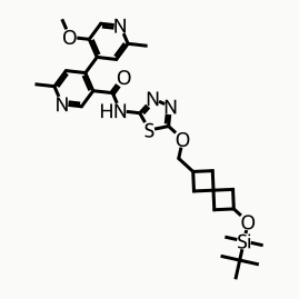 COc1cnc(C)cc1-c1cc(C)ncc1C(=O)Nc1nnc(OCC2CC3(C2)CC(O[Si](C)(C)C(C)(C)C)C3)s1